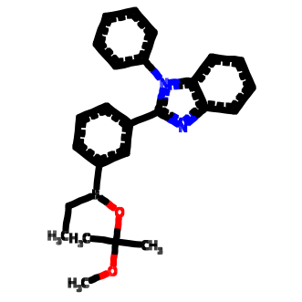 CCB(OC(C)(C)OC)c1cccc(-c2nc3ccccc3n2-c2ccccc2)c1